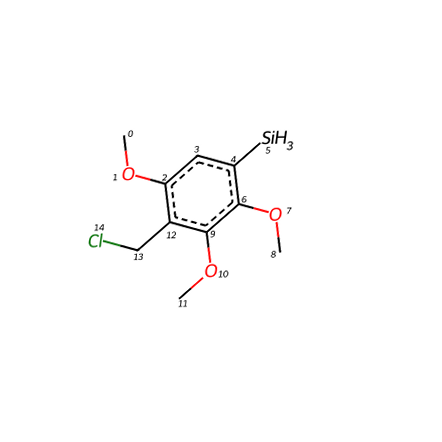 COc1cc([SiH3])c(OC)c(OC)c1CCl